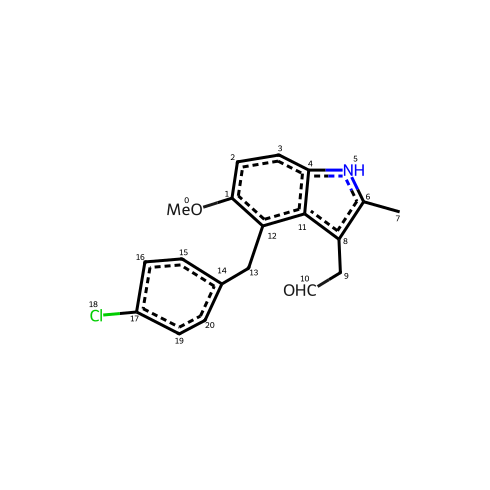 COc1ccc2[nH]c(C)c(CC=O)c2c1Cc1ccc(Cl)cc1